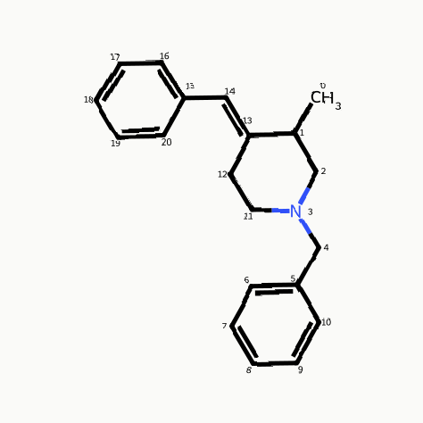 CC1CN(Cc2ccccc2)CC/C1=C\c1ccccc1